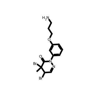 CC1(Br)C(=O)N(c2cccc(OCCCN)c2)N=CC1Br